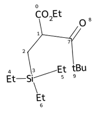 CCOC(=O)C(C[Si](CC)(CC)CC)C(=O)C(C)(C)C